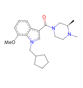 COc1cccc2c(C(=O)N3CCN(C)[C@H](C)C3)cn(CC3CCCC3)c12